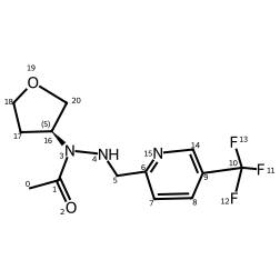 CC(=O)N(NCc1ccc(C(F)(F)F)cn1)[C@H]1CCOC1